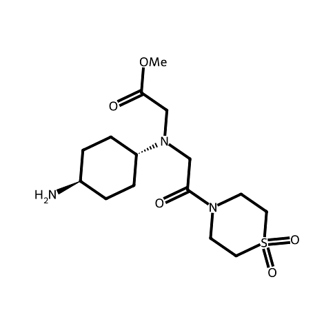 COC(=O)CN(CC(=O)N1CCS(=O)(=O)CC1)[C@H]1CC[C@H](N)CC1